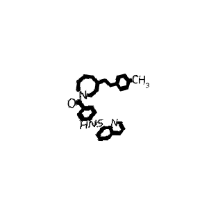 Cc1ccc(CCC2CCCCN(C(=O)c3ccc(NSc4cccc5cccnc45)cc3)CC2)cc1